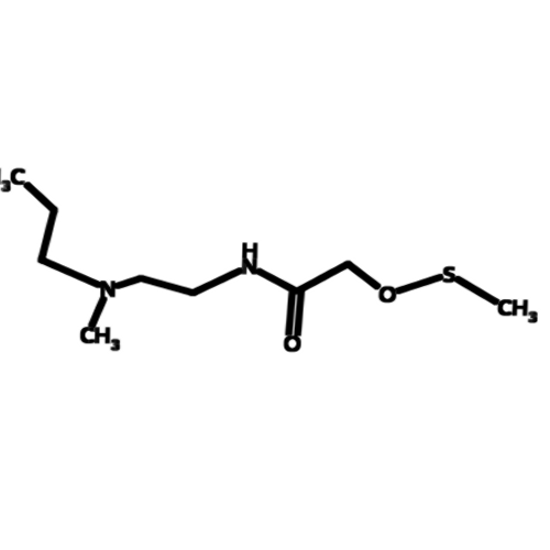 CCCN(C)CCNC(=O)COSC